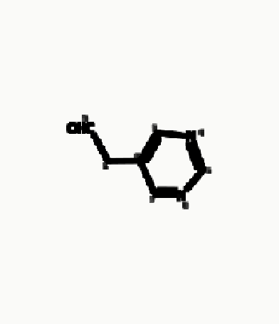 O=CCc1cncnc1